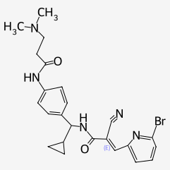 CN(C)CCC(=O)Nc1ccc(C(NC(=O)/C(C#N)=C/c2cccc(Br)n2)C2CC2)cc1